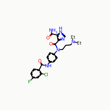 CCN(CC)CCCN(C(=O)c1nc[nH]c1C(N)=O)c1ccc(NC(=O)c2ccc(F)cc2Cl)cc1